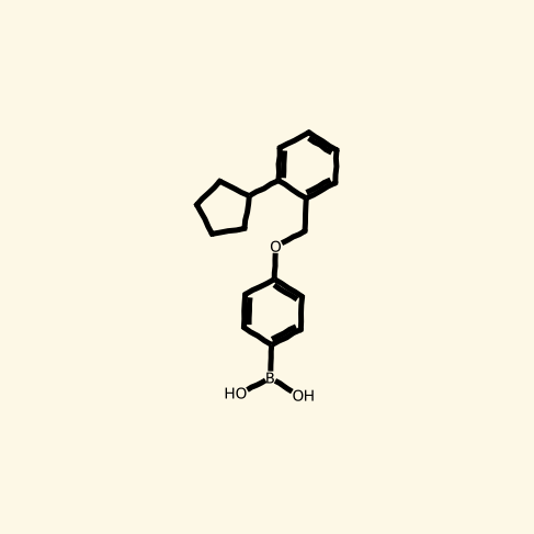 OB(O)c1ccc(OCc2ccccc2C2CCCC2)cc1